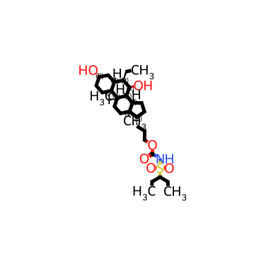 CCC(CC)S(=O)(=O)NC(=O)OCCC[C@H]1CC[C@H]2[C@@H]3[C@H](O)[C@H](CC)[C@@H]4C[C@H](O)CC[C@]4(C)[C@H]3CC[C@]12C